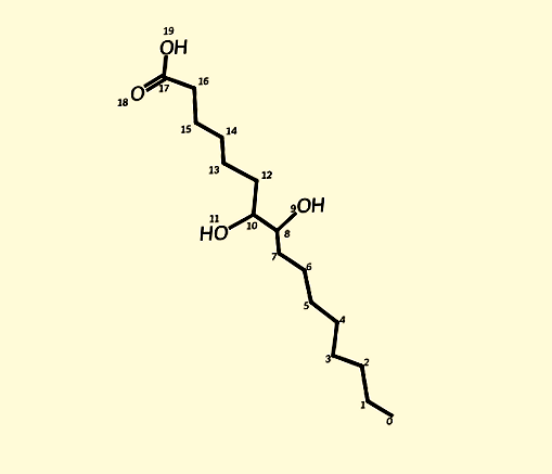 CCCCCCCCC(O)C(O)CCCCCC(=O)O